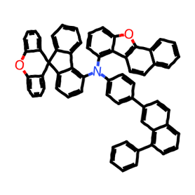 c1ccc(-c2cccc3ccc(-c4ccc(N(c5cccc6c5-c5ccccc5C65c6ccccc6Oc6ccccc65)c5cccc6oc7c8ccccc8ccc7c56)cc4)cc23)cc1